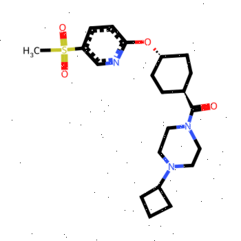 CS(=O)(=O)c1ccc(O[C@H]2CC[C@H](C(=O)N3CCN(C4CCC4)CC3)CC2)nc1